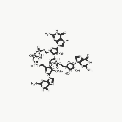 CO[C@@H]1[C@H](OP(=O)(O)OC[C@H]2O[C@@H](n3cnc4c(=O)[nH]c(N)nc43)[C@H](O)[C@@H]2O)C(COP(=O)(O)OP(=O)(O)OP(=O)(O)OC[C@H]2OC(n3c[n+](C)c4c(=O)[nH]c(N)nc43)[C@H](O)[C@@H]2CSC(F)(F)F)O[C@H]1n1cnc2c(=O)[nH]c(N)nc21